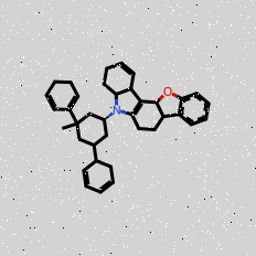 CC1(C2=CCCC=C2)CC(C2C=CC=CC2)C[C@H](N2C3=C(C4C=CCCC42)C2Oc4ccccc4C2CC3)C1